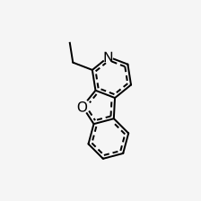 CCc1nccc2c1oc1ccccc12